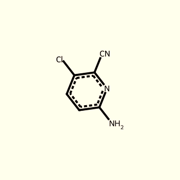 N#Cc1nc(N)ccc1Cl